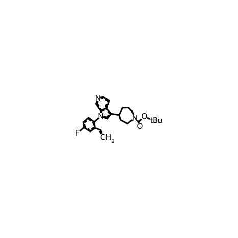 C=Cc1cc(F)ccc1-n1cc(C2CCCN(C(=O)OC(C)(C)C)CC2)c2ccncc21